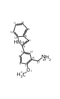 COc1ccc(-c2cc3ccccc3[nH]2)cc1CN